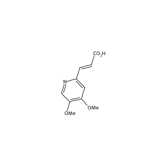 COc1cnc(C=CC(=O)O)cc1OC